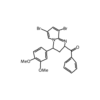 COc1ccc(C2CC(C(=O)c3ccccc3)N=C3C(Br)=CC(Br)=CN32)cc1OC